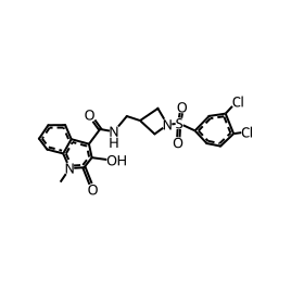 Cn1c(=O)c(O)c(C(=O)NCC2CN(S(=O)(=O)c3ccc(Cl)c(Cl)c3)C2)c2ccccc21